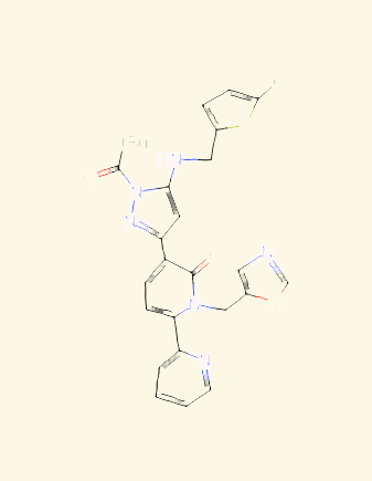 CC(C)(C)C(=O)n1nc(-c2ccc(-c3ccccn3)n(Cc3cnco3)c2=O)cc1NCc1ccc(Cl)s1